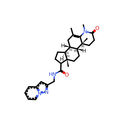 CC1=C2N(C)C(=O)CC[C@]2(C)[C@@H]2CC[C@]3(C)C(C(=O)NCc4cc5ccccn5n4)CC[C@H]3[C@@H]2C1